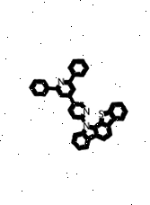 c1ccc(-c2cc(-c3ccc(-n4c5ccccc5c5ccc6c7ccccc7sc6c54)nc3)cc(-c3ccccc3)n2)cc1